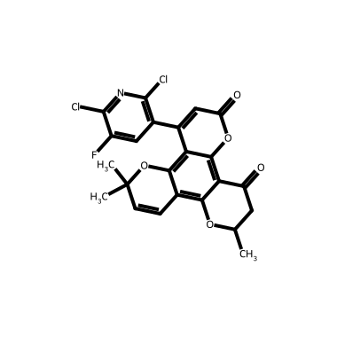 CC1CC(=O)c2c(c3c(c4c(-c5cc(F)c(Cl)nc5Cl)cc(=O)oc24)OC(C)(C)C=C3)O1